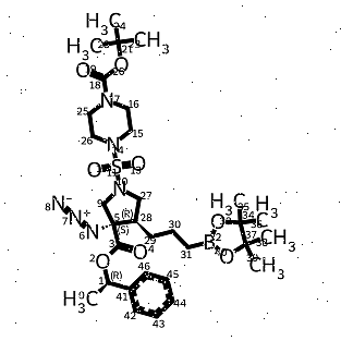 C[C@@H](OC(=O)[C@@]1(N=[N+]=[N-])CN(S(=O)(=O)N2CCN(C(=O)OC(C)(C)C)CC2)C[C@H]1CCCB1OC(C)(C)C(C)(C)O1)c1ccccc1